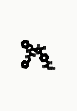 COC(=O)Nc1ccc(-c2nc([C@H](Cc3ccccc3)NC(=O)NCc3ccccc3)[nH]c2Cl)cc1